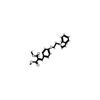 COC(=O)C(=Cc1ccc(OCCn2ccc3ccccc32)cc1)C(=O)OC